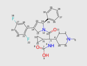 CN1CCC([C@](NC(=O)O)(C(=O)N2CC(c3cc(F)ccc3F)=C[C@H]2c2ccccc2)C2CC2)CC1